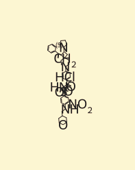 C=Cc1ccccc1[C@@H]1CCCN1C1CC2(CCN(c3ccc(C(=O)NS(=O)(=O)c4ccc(NCC5CCOCC5)c([N+](=O)[O-])c4)cc3)CC2)C1.Cl